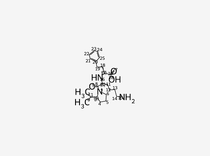 CC(C)[C@@H]1CCCN1C(=O)[C@H](CCCCN)N[C@@H](CCc1ccccc1)C(=O)O